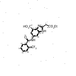 CCOC(=O)Cc1nc2c(C(=O)O)cc(NC(=O)c3ccccc3C(F)(F)F)cc2[nH]1